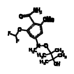 COc1cc(N(C)OC(C)(C)C(C)(C)O)cc(OC(F)F)c1C(N)=O